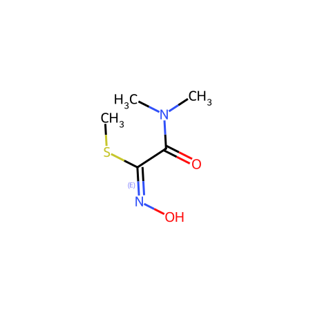 CS/C(=N/O)C(=O)N(C)C